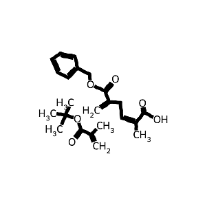 C=C(C)C(=O)OC(C)(C)C.C=C(CC=C(C)C(=O)O)C(=O)OCc1ccccc1